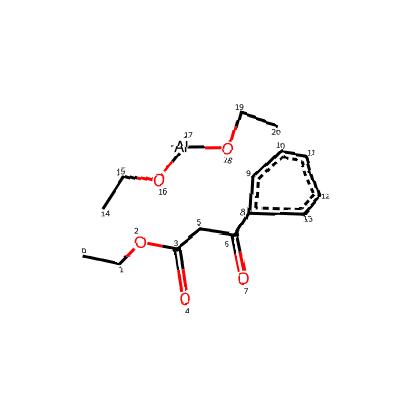 CCOC(=O)CC(=O)c1ccccc1.CC[O][Al][O]CC